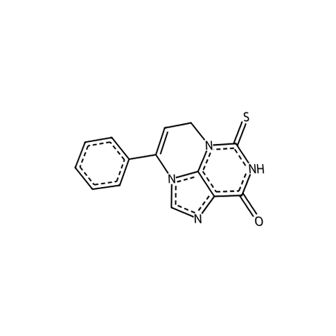 O=c1[nH]c(=S)n2c3c1ncn3C(c1ccccc1)=CC2